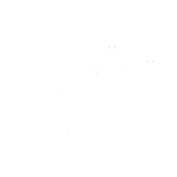 O=C1OCCCCOC(=O)c2ccc1c(Br)c2Br